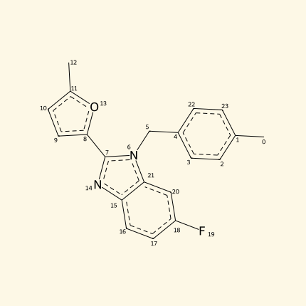 Cc1ccc(Cn2c(-c3ccc(C)o3)nc3ccc(F)cc32)cc1